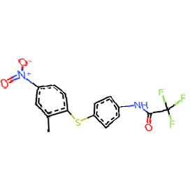 Cc1cc([N+](=O)[O-])ccc1Sc1ccc(NC(=O)C(F)(F)F)cc1